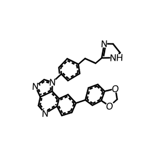 c1cc(-n2cnc3cnc4ccc(-c5ccc6c(c5)OCO6)cc4c32)ccc1CCC1=NCCN1